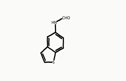 O=CNc1ccc2sccc2c1